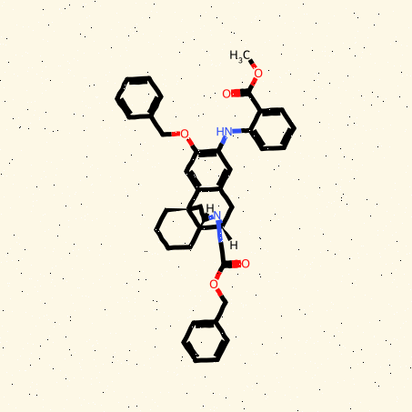 COC(=O)c1ccccc1Nc1cc2c(cc1OCc1ccccc1)[C@@]13CCCC[C@H]1[C@@H](C2)N(C(=O)OCc1ccccc1)CC3